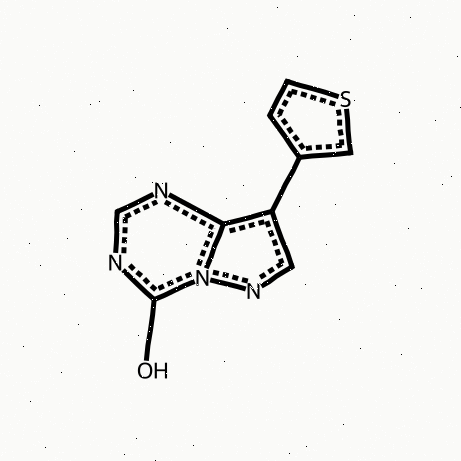 Oc1ncnc2c(-c3ccsc3)cnn12